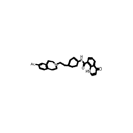 CC(=O)c1ccc2c(c1)CCN(CCC1CCC(NC(=O)c3cccc4c(=O)cc[nH]c34)CC1)CC2